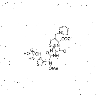 CON=C(C(=O)NC1C(=O)N2C(C(=O)[O-])=C(C[n+]3ccccc3)CS[C@@H]12)c1csc(NP(=O)(O)O)n1